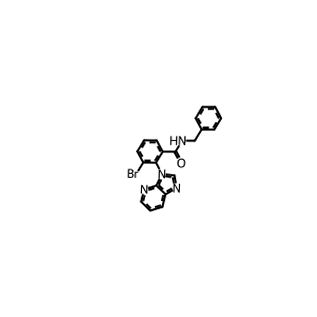 O=C(NCc1ccccc1)c1cccc(Br)c1-n1cnc2cccnc21